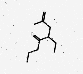 C=C(C)CC(CC)C(=O)CCC